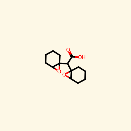 O=C(O)C(C12CCCCC1O2)C12CCCCC1O2